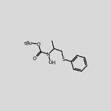 CC(CSc1ccccc1)N(O)C(=O)OC(C)(C)C